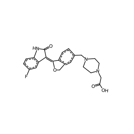 O=C(O)CN1CCN(Cc2ccc3c(c2)CO/C3=C2/C(=O)Nc3ccc(F)cc32)CC1